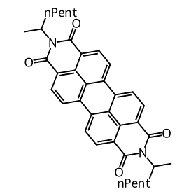 CCCCCC(C)N1C(=O)c2ccc3c4ccc5c6c(ccc(c7ccc(c2c37)C1=O)c64)C(=O)N(C(C)CCCCC)C5=O